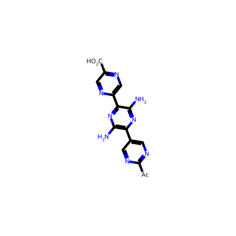 CC(=O)c1ncc(-c2nc(N)c(-c3cnc(C(=O)O)cn3)nc2N)cn1